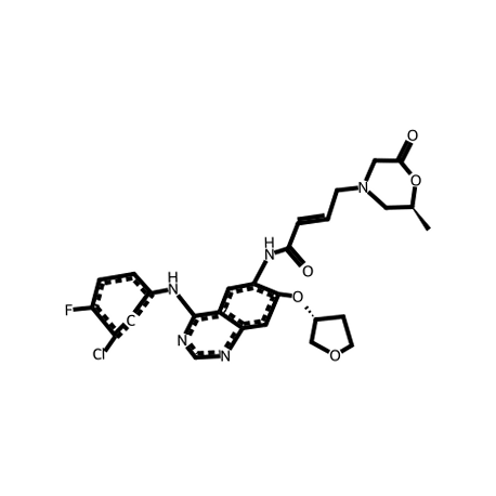 C[C@H]1CN(CC=CC(=O)Nc2cc3c(Nc4ccc(F)c(Cl)c4)ncnc3cc2O[C@@H]2CCOC2)CC(=O)O1